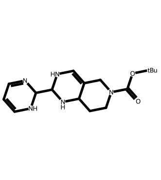 CC(C)(C)OC(=O)N1CCC2NC(C3N=CC=CN3)NC=C2C1